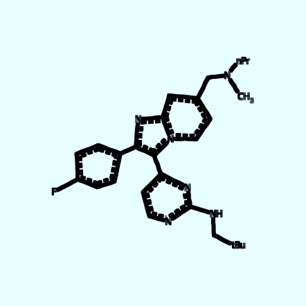 CCCN(C)Cc1ccn2c(-c3ccnc(NCC(C)(C)C)n3)c(-c3ccc(F)cc3)nc2c1